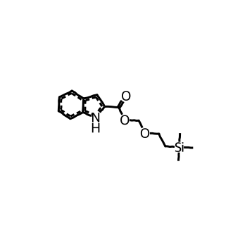 C[Si](C)(C)CCOCOC(=O)c1cc2ccccc2[nH]1